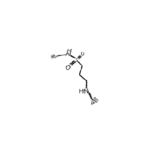 CC(C)(C)NCCCS(=O)(=O)NC(C)(C)C